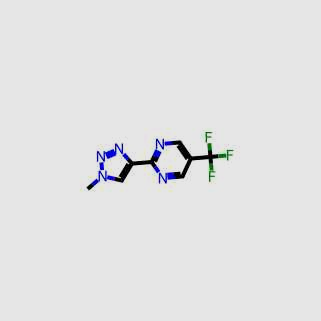 Cn1cc(-c2ncc(C(F)(F)F)cn2)nn1